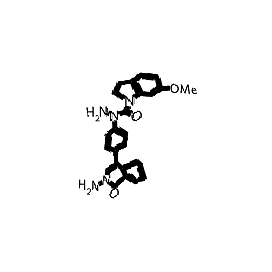 COc1ccc2c(c1)N(C(=O)N(N)c1ccc(-c3cn(N)c(=O)c4ccccc34)cc1)CC2